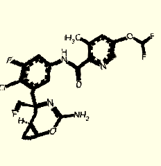 Cc1cc(OC(F)F)cnc1C(=O)Nc1cc(F)c(Cl)c([C@]2(CF)N=C(N)OC3C[C@H]32)c1